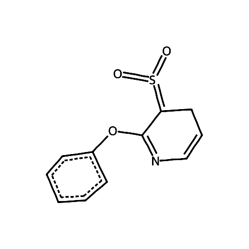 O=S(=O)=C1CC=CN=C1Oc1ccccc1